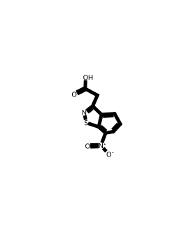 O=C(O)Cc1nsc2c([N+](=O)[O-])cccc12